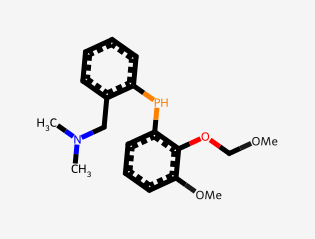 COCOc1c(OC)cccc1Pc1ccccc1CN(C)C